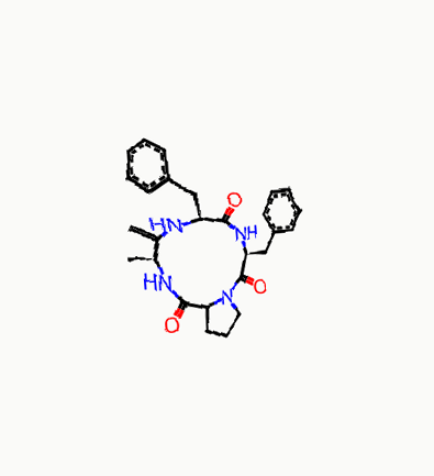 C=C1N[C@@H](Cc2ccccc2)C(=O)N[C@@H](Cc2ccccc2)C(=O)N2CCCC2C(=O)N[C@H]1C